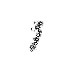 CN(c1cccc([C@@H]2CCN(C3CCC(n4cc(-c5cc(-c6ccccc6O)nnc5N)cn4)CC3)CC2(F)F)c1)[C@H]1CCC(=O)NC1=O